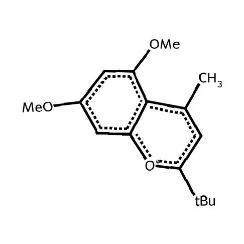 COc1cc(OC)c2c(C)cc(C(C)(C)C)[o+]c2c1